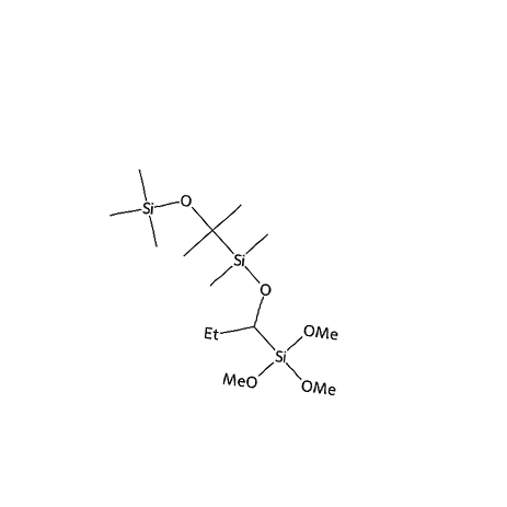 CCC(O[Si](C)(C)C(C)(C)O[Si](C)(C)C)[Si](OC)(OC)OC